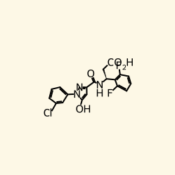 O=C(O)C[C@H](NC(=O)c1cc(O)n(-c2cccc(Cl)c2)n1)c1c(F)cccc1F